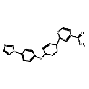 NC(=O)C1=CC(C2C=CC(Sc3ccc(-n4ccnc4)cc3)CC2)OC=C1